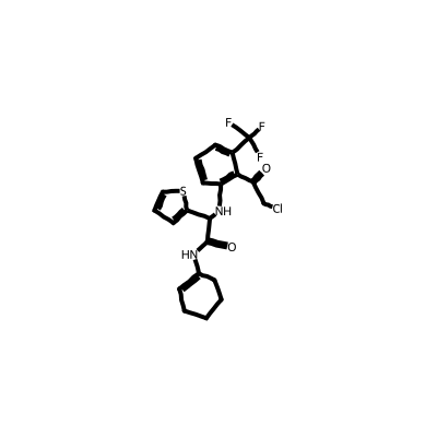 O=C(CCl)c1c(NC(C(=O)NC2=CCCCC2)c2cccs2)cccc1C(F)(F)F